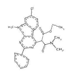 CCOC(=O)C(C(=O)N(C)C)c1nc(-c2ccccc2)nc2c1c1ccc(Cl)cc1n2C